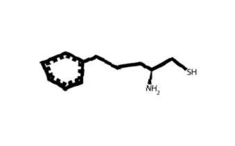 N[C@H](CS)CCCc1ccccc1